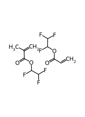 C=C(C)C(=O)OC(F)C(F)F.C=CC(=O)OC(F)C(F)F